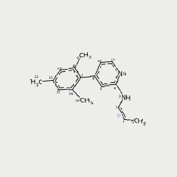 C/C=C\Nc1cc(-c2c(C)cc(C)cc2C)ccn1